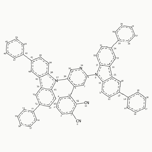 N#Cc1cccc(-c2cc(-n3c4ccc(-c5ccccc5)cc4c4cc(-c5ccccc5)ccc43)ncc2-n2c3ccc(-c4ccccc4)cc3c3cc(-c4ccccc4)ccc32)c1C#N